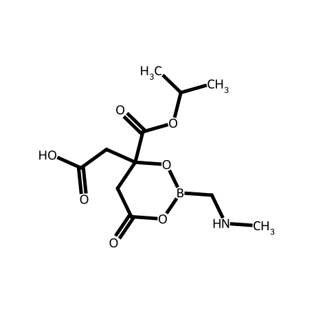 CNCB1OC(=O)CC(CC(=O)O)(C(=O)OC(C)C)O1